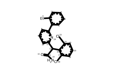 CCc1ccccc1-c1cccc(C(C(N)=O)c2c(Cl)cccc2Cl)n1